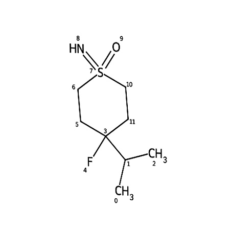 CC(C)C1(F)CCS(=N)(=O)CC1